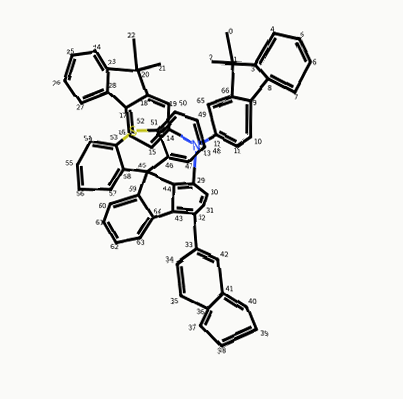 CC1(C)c2ccccc2-c2ccc(N(c3ccc4c(c3)C(C)(C)c3ccccc3-4)c3ccc(-c4ccc5ccccc5c4)c4c3C3(c5ccccc5Sc5ccccc53)c3ccccc3-4)cc21